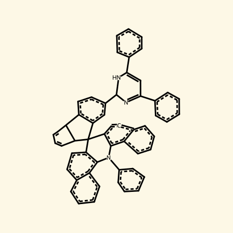 C1=CC2c3ccc(C4N=C(c5ccccc5)C=C(c5ccccc5)N4)cc3C3(c4ccc5ccccc5c4N(c4ccccc4)c4c3ccc3ccccc43)C2C=C1